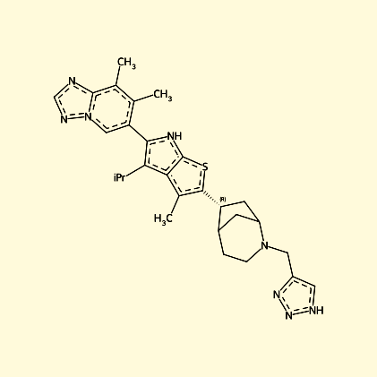 Cc1c(-c2[nH]c3sc([C@@H]4CC5CC4CCN5Cc4c[nH]nn4)c(C)c3c2C(C)C)cn2ncnc2c1C